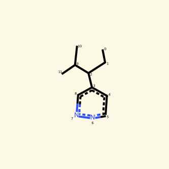 CCC(c1ccnnc1)C(C)C